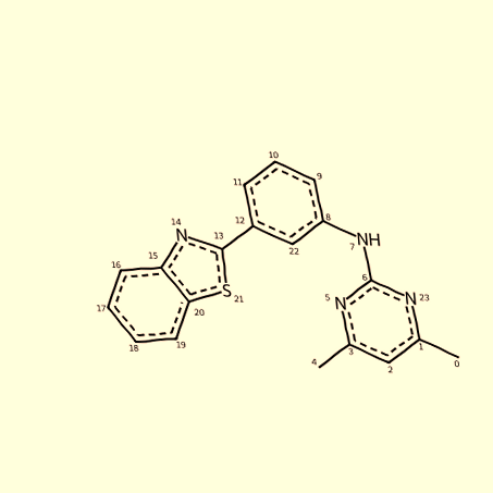 Cc1cc(C)nc(Nc2cccc(-c3nc4ccccc4s3)c2)n1